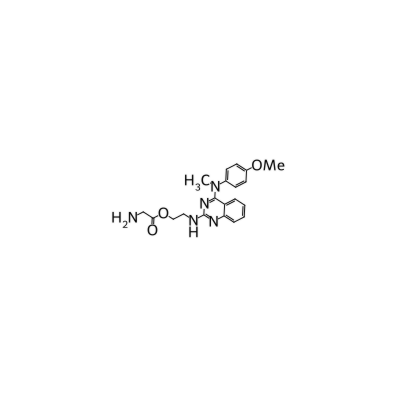 COc1ccc(N(C)c2nc(NCCOC(=O)CN)nc3ccccc23)cc1